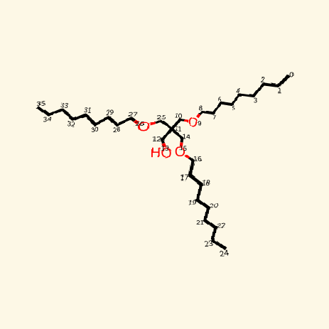 CCCCCCCCCOCC(CO)(COCCCCCCCCC)COCCCCCCCCC